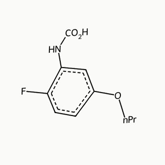 CCCOc1ccc(F)c(NC(=O)O)c1